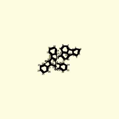 c1ccc2c(c1)-c1cccc3c(-n4c5ccccc5c5c6sc7ccccc7c6c6nc7ccccc7n6c54)ccc-2c13